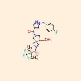 CC(C)(C(=O)N1CC2(CN(C(=O)c3cnn(Cc4ccc(F)cc4)c3)CC2CO)C1)C(F)(F)F